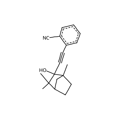 CC12CCC(C1)C(C)(C)C2(O)C#Cc1ccccc1C#N